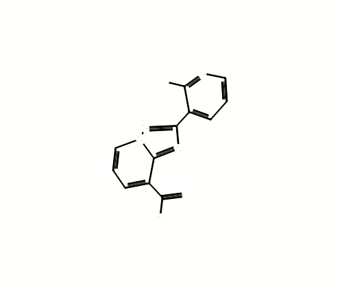 NC(=O)c1[c]ccn2nc(-c3cccnc3F)nc12